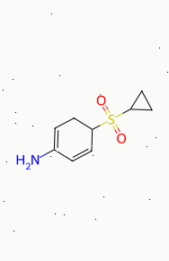 NC1=CCC(S(=O)(=O)C2CC2)C=C1